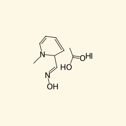 CC(=O)O.CN1C=CC=CC1C=NO.I